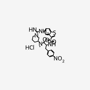 CN(C(=O)C(Cc1ccc([N+](=O)[O-])cc1)NS(=O)(=O)c1csc2ccccc12)C1CCCN(C(=N)N)C1.Cl